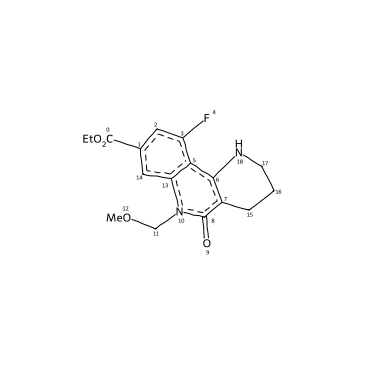 CCOC(=O)c1cc(F)c2c3c(c(=O)n(COC)c2c1)CCCN3